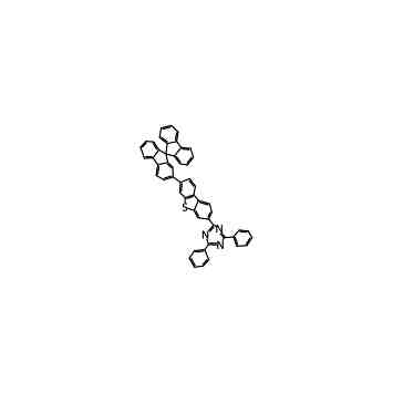 c1ccc(-c2nc(-c3ccccc3)nc(-c3ccc4c(c3)sc3cc(-c5ccc6c(c5)C5(c7ccccc7-c7ccccc75)c5ccccc5-6)ccc34)n2)cc1